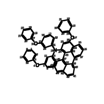 c1ccc(Oc2cccc(N(c3cccc(Oc4ccccc4)c3)c3cc(Oc4ccccc4)c4cccc5c6cccc7cccc(c3c45)c76)c2)cc1